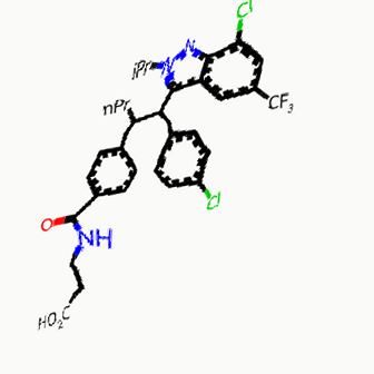 CCCC(c1ccc(C(=O)NCCC(=O)O)cc1)C(c1ccc(Cl)cc1)c1c2cc(C(F)(F)F)cc(Cl)c2nn1C(C)C